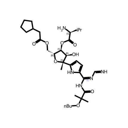 CCCCOC(C)(C)C(=O)N/C(=N/C=N)c1ccc([C@]2(C)O[C@H](COC(=O)CC3CCCC3)[C@@H](OC(=O)[C@@H](N)C(C)C)[C@H]2O)[nH]1